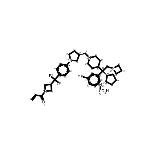 C=CC(=O)N1CC(C(F)(F)c2ccc(N3CC[C@@H](CN4CCC(C(CN5CCC5)(c5cccc(F)c5)[C@H]5CCC[C@@H]5NC(=O)O)CC4)C3)cc2)C1